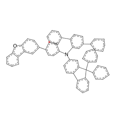 c1ccc(-c2ccc(-c3ccccc3)c(N(c3ccc(-c4ccc5oc6ccccc6c5c4)cc3)c3ccc4c(c3)C(c3ccccc3)(c3ccccc3)c3ccccc3-4)c2)cc1